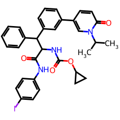 CC(C)n1cc(-c2cccc(C(c3ccccc3)C(NC(=O)OC3CC3)C(=O)Nc3ccc(I)cc3)c2)ccc1=O